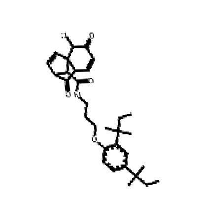 CCC(C)(C)c1ccc(OCCCNC(=O)C2C3C=CC24C(Cl)C(=O)C=CC4C3=O)c(C(C)(C)CC)c1